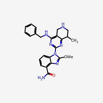 COc1nc2c(C(N)=O)cccc2n1-c1nc(NCc2ccccc2)c2c(n1)C(C)CNC2